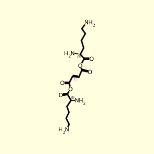 NCCCC[C@H](N)C(=O)OC(=O)/C=C/C(=O)OC(=O)[C@@H](N)CCCCN